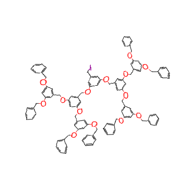 ICc1cc(OCc2cc(OCc3cc(OCc4ccccc4)cc(OCc4ccccc4)c3)cc(OCc3cc(OCc4ccccc4)cc(OCc4ccccc4)c3)c2)cc(OCc2cc(OCc3cc(OCc4ccccc4)cc(OCc4ccccc4)c3)cc(OCc3cc(OCc4ccccc4)cc(OCc4ccccc4)c3)c2)c1